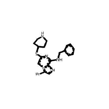 CC(C)c1cnc2c(NCc3ccccc3)nc(SC3CCNCC3)cn12